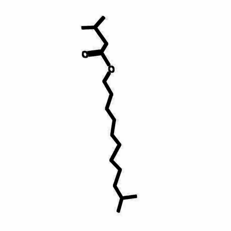 CC(C)CCCCCCCCCOC(=O)CC(C)C